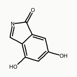 O=C1N=Cc2c(O)cc(O)cc21